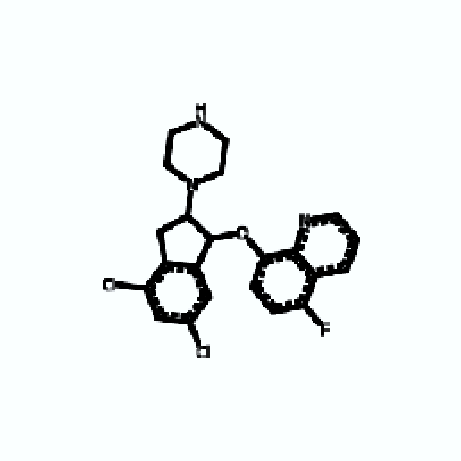 Fc1ccc(OC2c3cc(Cl)cc(Cl)c3CC2N2CCNCC2)c2ncccc12